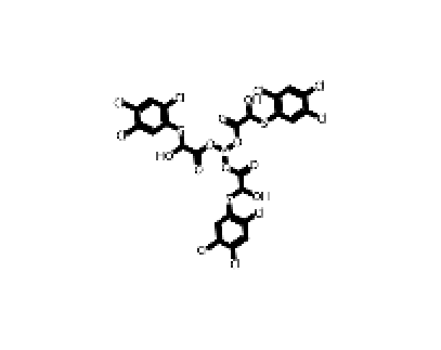 O=C(OP(OC(=O)C(O)Sc1cc(Cl)c(Cl)cc1Cl)OC(=O)C(O)Sc1cc(Cl)c(Cl)cc1Cl)C(O)Sc1cc(Cl)c(Cl)cc1Cl